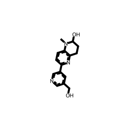 CN1c2ccc(-c3cncc(CO)c3)nc2CCC1O